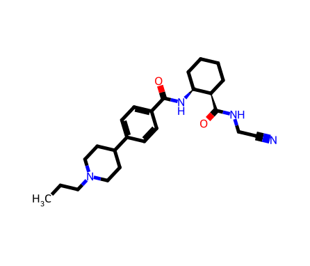 CCCN1CCC(c2ccc(C(=O)N[C@H]3CCCC[C@H]3C(=O)NCC#N)cc2)CC1